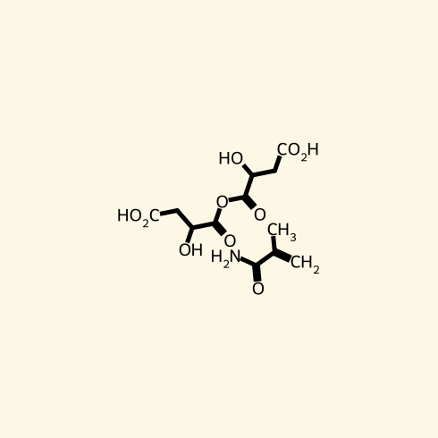 C=C(C)C(N)=O.O=C(O)CC(O)C(=O)OC(=O)C(O)CC(=O)O